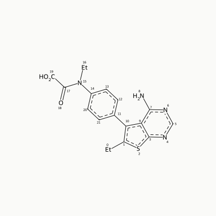 CCc1sc2ncnc(N)c2c1-c1ccc(N(CC)C(=O)C(=O)O)cc1